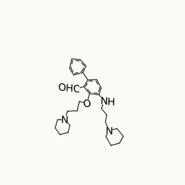 O=Cc1c(-c2ccccc2)ccc(NCCCN2CCCCC2)c1OCCCN1CCCCC1